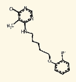 Cc1c(Cl)ncnc1NCCCCCOc1ccccc1C(C)C